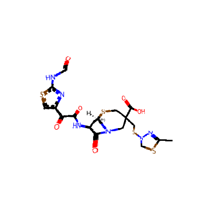 CC1=NN(SCC2(C(=O)O)CS[C@@H]3C(NC(=O)C(=O)c4csc(NC=O)n4)C(=O)N3C2)CS1